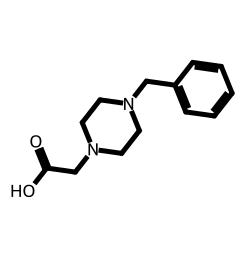 O=C(O)CN1CCN(Cc2ccccc2)CC1